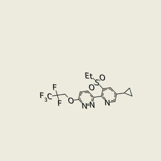 CCS(=O)(=O)c1cc(C2CC2)cnc1-c1ccc(OCC(F)(F)C(F)(F)F)nn1